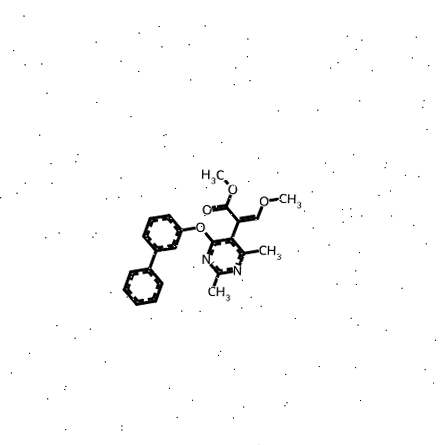 COC=C(C(=O)OC)c1c(C)nc(C)nc1Oc1cccc(-c2ccccc2)c1